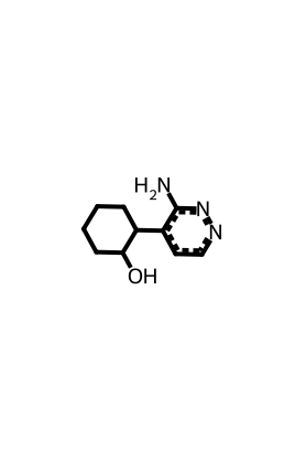 Nc1nnccc1C1CCCCC1O